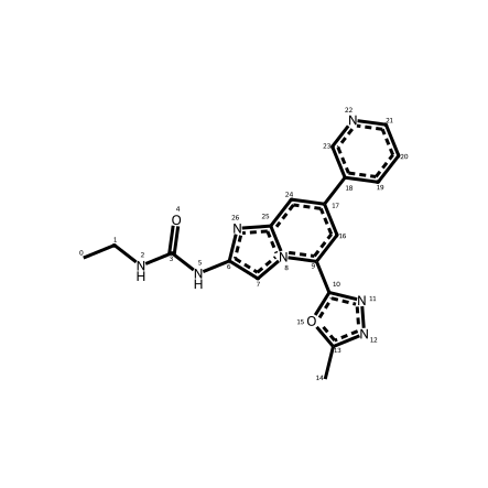 CCNC(=O)Nc1cn2c(-c3nnc(C)o3)cc(-c3cccnc3)cc2n1